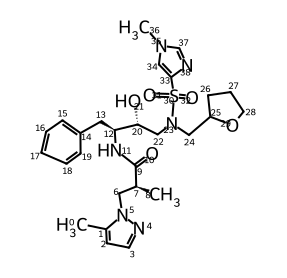 Cc1ccnn1C[C@H](C)C(=O)N[C@@H](Cc1ccccc1)[C@H](O)CN(CC1CCCO1)S(=O)(=O)c1cn(C)cn1